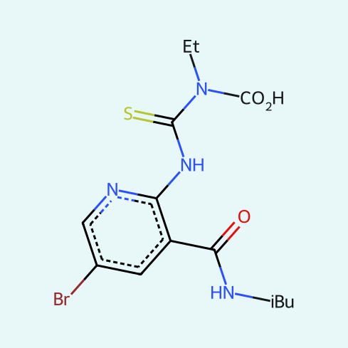 CCC(C)NC(=O)c1cc(Br)cnc1NC(=S)N(CC)C(=O)O